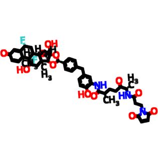 C[C@H](CCC(=O)[C@H](C)NC(=O)CCN1C(=O)C=CC1=O)C(=O)Nc1cc(Cc2ccc([C@@H]3O[C@@H]4C[C@H]5[C@@H]6C[C@H](F)C7=CC(=O)C=C[C@]7(C)[C@@]6(F)[C@@H](O)C[C@]5(C)[C@]4(C(=O)CO)O3)cc2)ccc1O